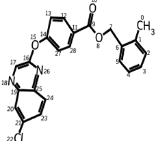 Cc1ccccc1COC(=O)c1ccc(Oc2cnc3cc(Cl)ccc3n2)cc1